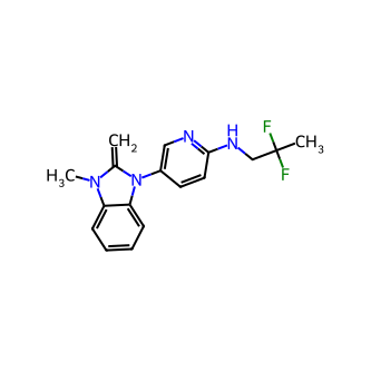 C=C1N(C)c2ccccc2N1c1ccc(NCC(C)(F)F)nc1